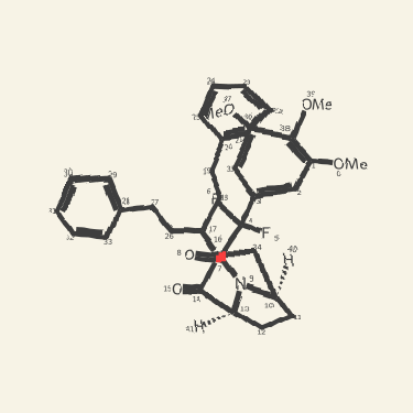 COc1cc(C(F)(F)C(=O)N2[C@@H]3CC[C@H]2C(=O)N(C(CCc2ccccc2)CCc2ccccc2)C3)cc(OC)c1OC